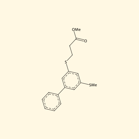 COC(=O)CCSc1cc(SC)cc(-c2ccccc2)c1